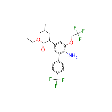 CCOC(=O)C(CC(C)C)c1cc(OCC(F)(F)F)c(N)c(-c2ccc(C(F)(F)F)cc2)c1